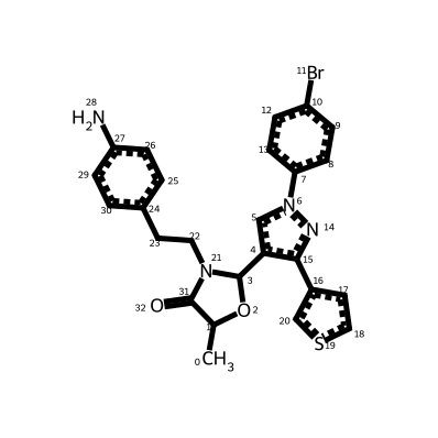 CC1OC(c2cn(-c3ccc(Br)cc3)nc2-c2ccsc2)N(CCc2ccc(N)cc2)C1=O